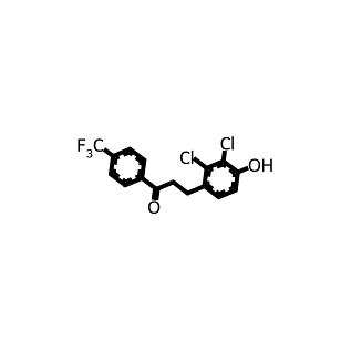 O=C(CCc1ccc(O)c(Cl)c1Cl)c1ccc(C(F)(F)F)cc1